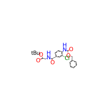 CC(C)(C)OC(=O)CNC(=O)c1ccc(NC(=O)OCc2ccccc2)c(Cl)c1